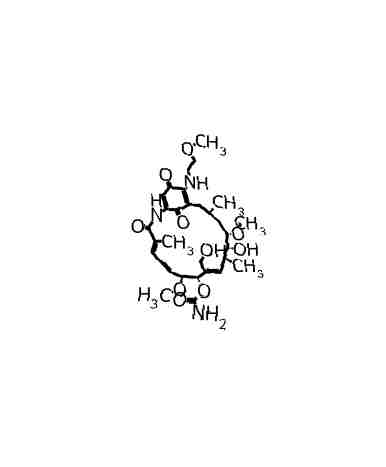 COCCNC1=C2C[C@@H](C)C[C@H](OC)[C@H](O)[C@@H](C)/C=C(\CO)[C@H](OC(N)=O)[C@@H](OC)/C=C\C=C(/C)C(=O)NC(=CC1=O)C2=O